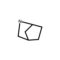 C1CC2CC1C[N]2